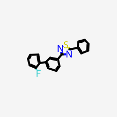 Fc1ccccc1-c1cccc(-c2nsc(-c3ccccc3)n2)c1